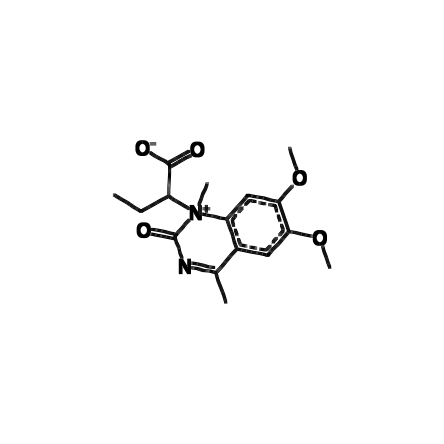 CCC(C(=O)[O-])[N+]1(C)C(=O)N=C(C)c2cc(OC)c(OC)cc21